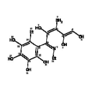 BC(/C(O)=C/O)=C(O)/C(=N/CC)c1c(O)c(O)c(O)c(O)c1CC